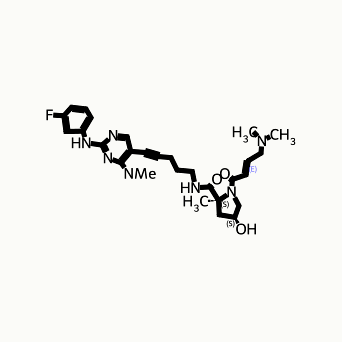 CNc1nc(Nc2cccc(F)c2)ncc1C#CCCCNC(=O)[C@]1(C)C[C@H](O)CN1C(=O)/C=C/CN(C)C